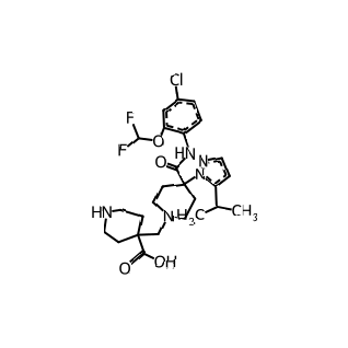 CC(C)c1ccnn1C1(C(=O)Nc2ccc(Cl)cc2OC(F)F)CCN(CC2(C(=O)O)CCNCC2)CC1